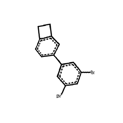 Brc1cc(Br)cc(-c2ccc3c(c2)CC3)c1